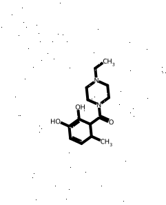 CCN1CCN(C(=O)C2C(O)=C(O)C=CC2C)CC1